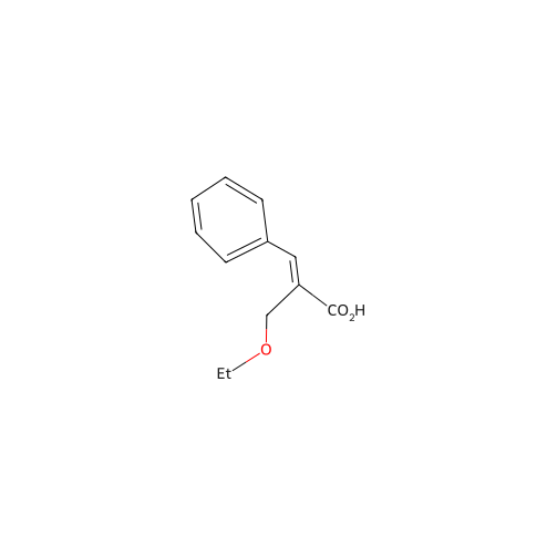 CCOCC(=Cc1ccccc1)C(=O)O